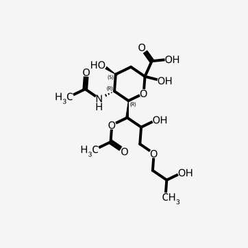 CC(=O)N[C@@H]1[C@@H](O)CC(O)(C(=O)O)O[C@H]1C(OC(C)=O)C(O)COCC(C)O